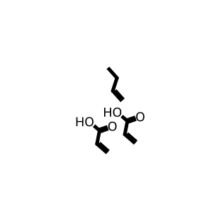 C=CC(=O)O.C=CC(=O)O.C=CCC